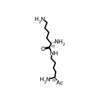 CC(=O)[C@@H](N)CCCCNC(=O)[C@@H](N)CCCCN